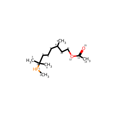 CPC(C)(C)CCCC(C)CCOC(C)=O